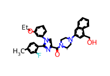 CCOc1cccc(-n2cc(C(=O)N3[CH]CN(c4cc(CO)c5ccccc5c4)CC3)nc2-c2ccc(C)cc2F)c1